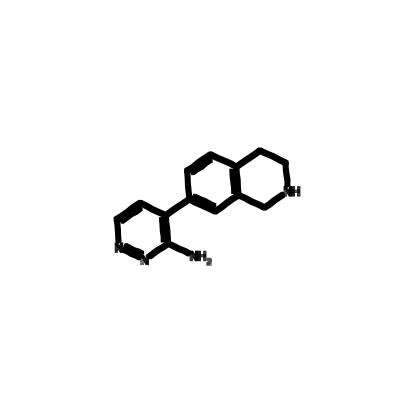 Nc1nnccc1-c1ccc2c(c1)CNCC2